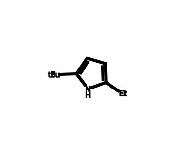 CCc1ccc(C(C)(C)C)[nH]1